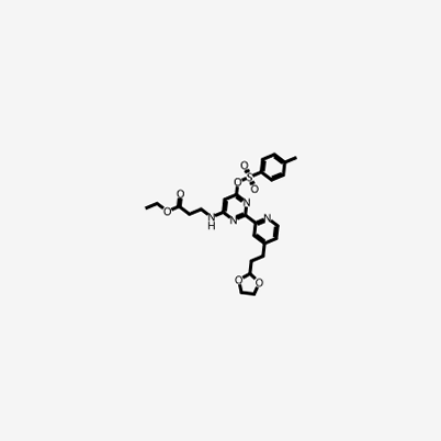 CCOC(=O)CCNc1cc(OS(=O)(=O)c2ccc(C)cc2)nc(-c2cc(CCC3OCCO3)ccn2)n1